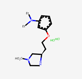 CCN(CC)c1cccc(OCC[C@@H]2CN(C(=O)O)CCN2)c1.Cl.Cl